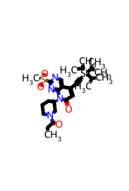 CCC(=O)N1CCC[C@@H](n2c(=O)cc(C#C[Si](C(C)C)(C(C)C)C(C)C)c3cnc(S(C)(=O)=O)nc32)C1